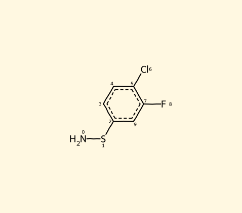 NSc1ccc(Cl)c(F)c1